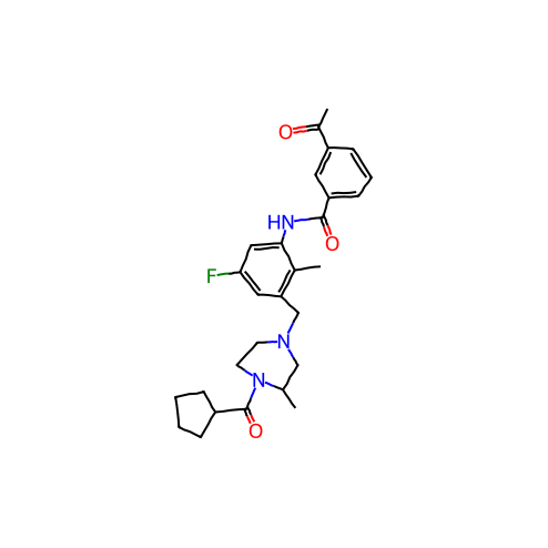 CC(=O)c1cccc(C(=O)Nc2cc(F)cc(CN3CCN(C(=O)C4CCCC4)C(C)C3)c2C)c1